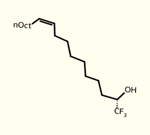 CCCCCCCC/C=C\CCCCCCC[C@H](O)C(F)(F)F